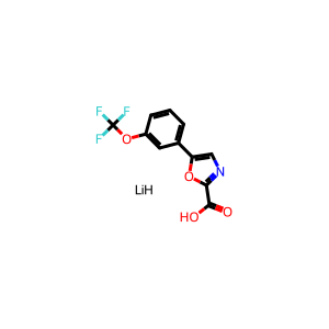 O=C(O)c1ncc(-c2cccc(OC(F)(F)F)c2)o1.[LiH]